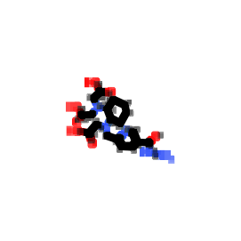 NNC(=O)c1ccc(CN(CC(=O)O)C2CCCC[C@@H]2N(CC(=O)O)CC(=O)O)nc1